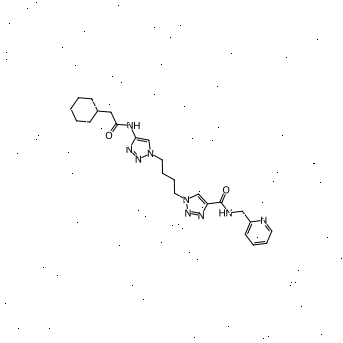 O=C(CC1CCCCC1)Nc1cn(CCCCn2cc(C(=O)NCc3ccccn3)nn2)nn1